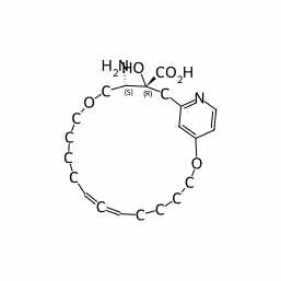 N[C@H]1COCCCCC=C=CCCCCOc2ccnc(c2)C[C@]1(O)C(=O)O